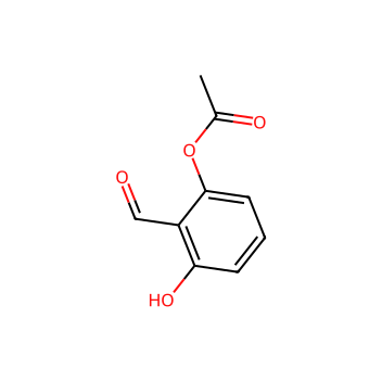 CC(=O)Oc1cccc(O)c1C=O